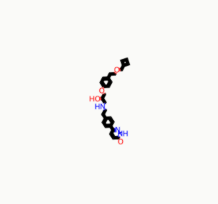 O=c1ccc(-c2ccc(CCNCC(O)COc3ccc(CCOCC4CCC4)cc3)cc2)n[nH]1